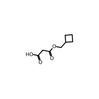 O=C(O)CC(=O)OCC1CCC1